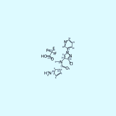 CN(C(=O)[C@@H]1C=C[C@H](N)C1)c1cn(-c2cccnc2)nc1Cl.O=C(O)C(F)(F)F